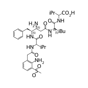 CC[C@H](C)[C@H](NC(=O)C[C@H](N)[C@H](Cc1ccccc1)NC(=O)C(NC(=O)Cc1cccc(S(C)(=O)=O)c1N)C(C)C)C(=O)NC(C(=O)O)C(C)C